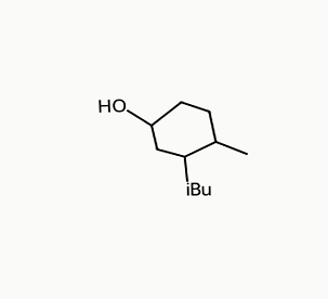 CCC(C)C1CC(O)CCC1C